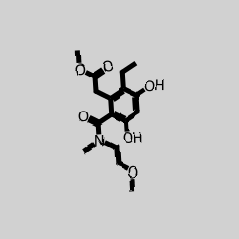 CCc1c(O)cc(O)c(C(=O)N(C)CCOC)c1CC(=O)OC